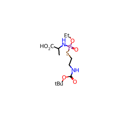 CCOP(=O)(NC(C)C(=O)O)SCCNC(=O)OC(C)(C)C